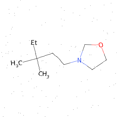 CCC(C)(C)CCN1CCOC1